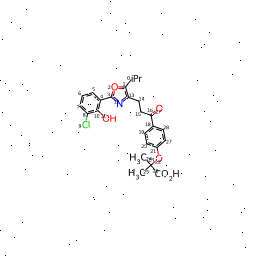 CC(C)c1oc(-c2cccc(Cl)c2O)nc1CCC(=O)c1ccc(OC(C)(C)C(=O)O)cc1